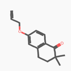 C=CCOc1ccc2c(c1)CCC(C)(C)C2=O